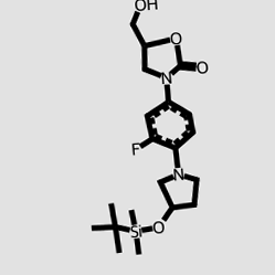 CC(C)(C)[Si](C)(C)OC1CCN(c2ccc(N3CC(CO)OC3=O)cc2F)C1